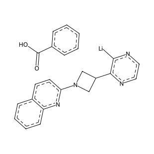 O=C(O)c1ccccc1.[Li][c]1nccnc1C1CN(c2ccc3ccccc3n2)C1